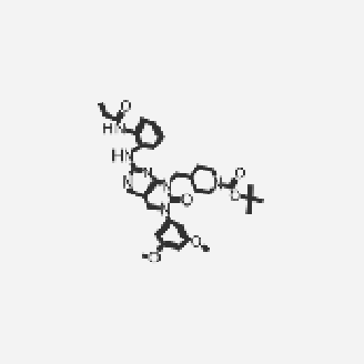 C=CC(=O)Nc1ccccc1Nc1ncc2c(n1)N(CC1CCN(C(=O)OC(C)(C)C)CC1)C(=O)N(c1cc(OC)cc(OC)c1)C2